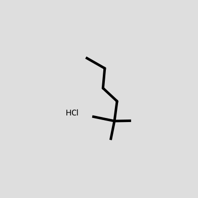 CCCCC(C)(C)C.Cl